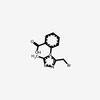 Cc1nnc(CBr)n1-c1ccccc1C(=O)O